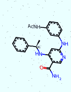 CC(=O)Nc1cccc(Nc2cc(N[C@H](C)c3ccccc3)c(C(N)=O)cn2)c1